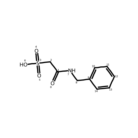 O=C(CS(=O)(=O)O)NCc1ccccc1